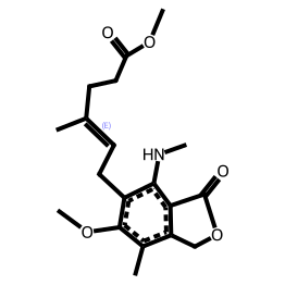 CNc1c(C/C=C(\C)CCC(=O)OC)c(OC)c(C)c2c1C(=O)OC2